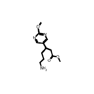 COC(=O)CC(CCCN)c1cnc(OC)nc1